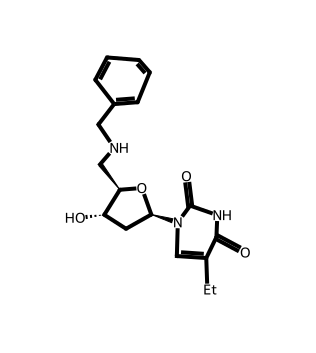 CCc1cn([C@H]2C[C@H](O)[C@@H](CNCc3ccccc3)O2)c(=O)[nH]c1=O